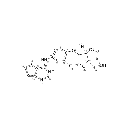 O[C@H]1CO[C@@H]2C(Oc3ccc(Nc4ncnc5ccsc45)cc3Cl)CO[C@@H]21